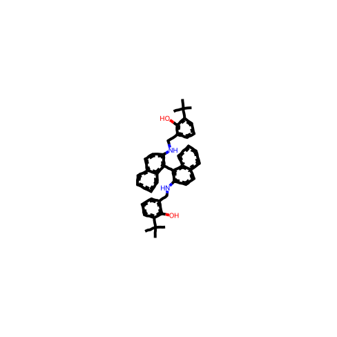 CC(C)(C)c1cccc(CNc2ccc3ccccc3c2-c2c(NCc3cccc(C(C)(C)C)c3O)ccc3ccccc23)c1O